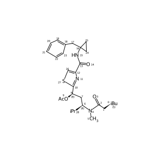 CC[C@H](C)CC(=O)N(C)[C@H](C[C@@H](OC(C)=O)c1nc(C(=O)NC2(Cc3ccccc3)CC2)cs1)C(C)C